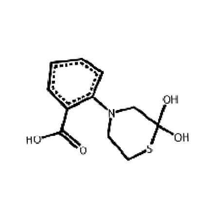 O=C(O)c1ccccc1N1CCSC(O)(O)C1